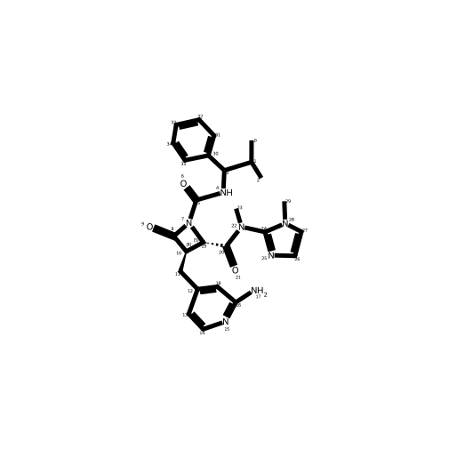 CC(C)C(NC(=O)N1C(=O)[C@H](Cc2ccnc(N)c2)[C@H]1C(=O)N(C)c1nccn1C)c1ccccc1